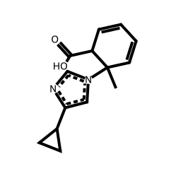 CC1(n2cnc(C3CC3)c2)C=CC=CC1C(=O)O